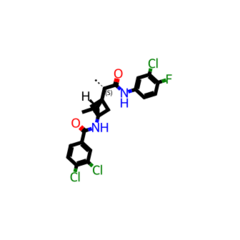 C[C@H](C(=O)Nc1ccc(F)c(Cl)c1)C12CC(NC(=O)c3ccc(Cl)c(Cl)c3)(C1)[C@@H]2C